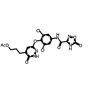 CC(=O)OCCCc1cc(Oc2c(Cl)cc(NC(=O)c3noc(=O)[nH]3)cc2Cl)n[nH]c1=O